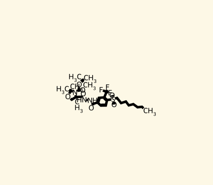 CCCCCCCCS(=O)(=O)c1ccc(C(=O)NNC(=O)[C@@]2(C)COC(C)(C)N2C(=O)OC(C)(C)C)cc1C(F)(F)F